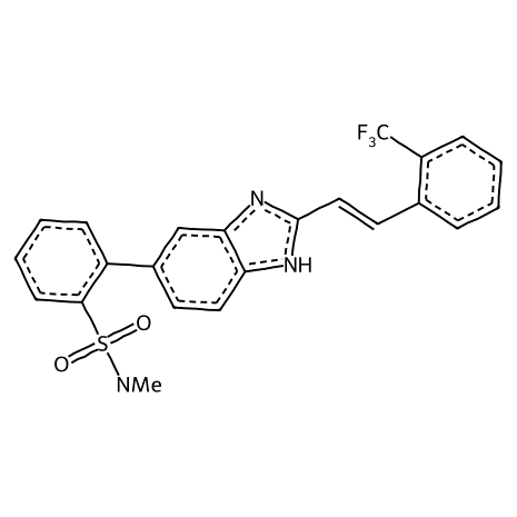 CNS(=O)(=O)c1ccccc1-c1ccc2[nH]c(C=Cc3ccccc3C(F)(F)F)nc2c1